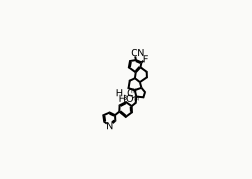 C[C@]12CCC3c4ccc(C#N)c(F)c4CCC3C1CC[C@@]2(O)Cc1ccc(-c2cccnc2)cc1